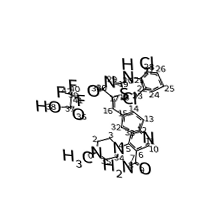 CN1CCN(c2c(C(N)=O)cnc3ccc(/C=C4\SC(Nc5c(Cl)cccc5Cl)=NC4=O)cc23)CC1.O=C(O)C(F)(F)F